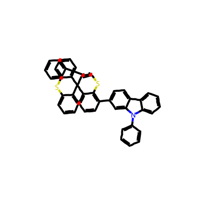 c1ccc(-c2cccc3c2C2(c4ccccc4Sc4ccccc42)c2cccc(-c4ccc5c6ccccc6n(-c6ccccc6)c5c4)c2S3)cc1